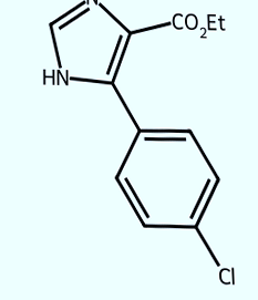 CCOC(=O)c1nc[nH]c1-c1ccc(Cl)cc1